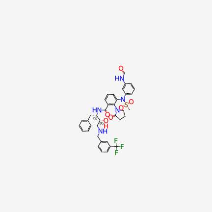 CS(=O)(=O)N(c1cccc(NC=O)c1)c1cccc(C(=O)N[C@@H](Cc2ccccc2)[C@H](O)CNCc2cccc(C(F)(F)F)c2)c1N1CCCC1=O